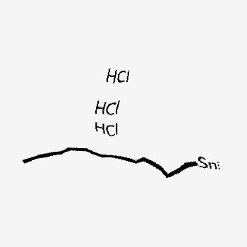 CCCC[CH2][Sn].Cl.Cl.Cl